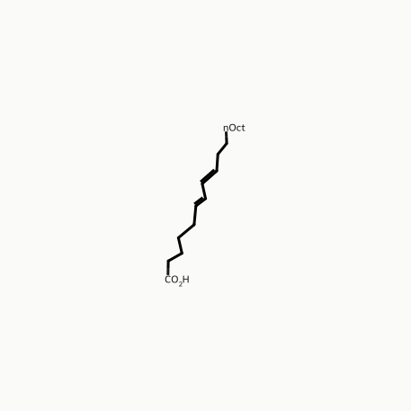 CCCCCCCCCCC=CC=CCCCCC(=O)O